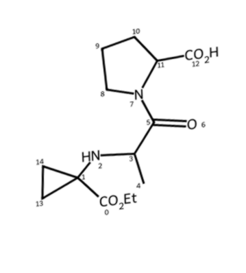 CCOC(=O)C1(NC(C)C(=O)N2CCCC2C(=O)O)CC1